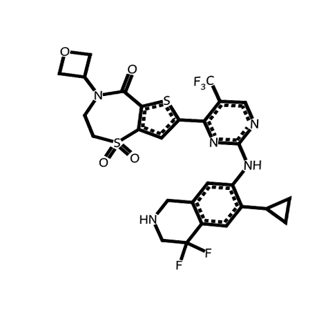 O=C1c2sc(-c3nc(Nc4cc5c(cc4C4CC4)C(F)(F)CNC5)ncc3C(F)(F)F)cc2S(=O)(=O)CCN1C1COC1